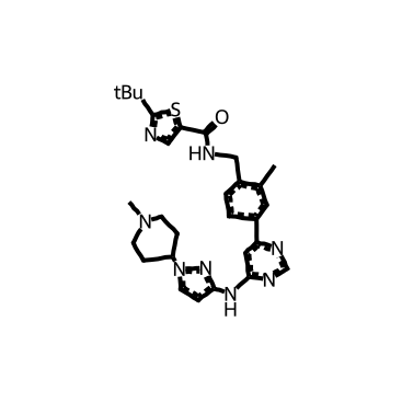 Cc1cc(-c2cc(Nc3ccn(C4CCN(C)CC4)n3)ncn2)ccc1CNC(=O)c1cnc(C(C)(C)C)s1